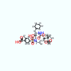 CC(C)CN(C[C@@H](O)C(Cc1ccccc1)NC(=O)O[C@H]1CO[C@H]2OCC[C@H]21)S(=O)(=O)c1ccc2c(c1)COB2O